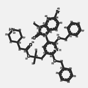 Cn1c(=O)n(-c2cc(CC(C)(C)OC(=O)CC3CCNCC3)c(OCc3ccccc3)nc2OCc2ccccc2)c2ccc(Br)nc21